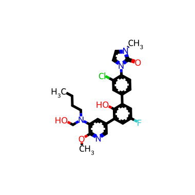 CCCCN(CO)c1cc(-c2cc(F)cc(-c3ccc(-n4ccn(C)c4=O)c(Cl)c3)c2O)cnc1OC